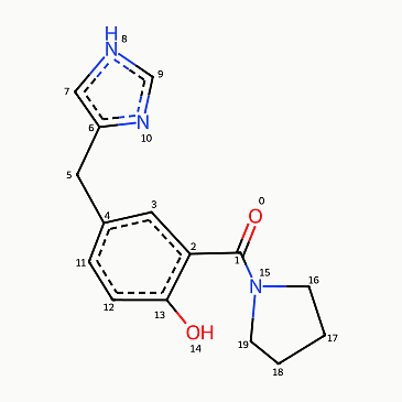 O=C(c1cc(Cc2c[nH]cn2)ccc1O)N1CCCC1